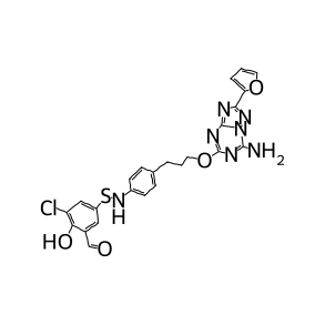 Nc1nc(OCCCc2ccc(NSc3cc(Cl)c(O)c(C=O)c3)cc2)nc2nc(-c3ccco3)nn12